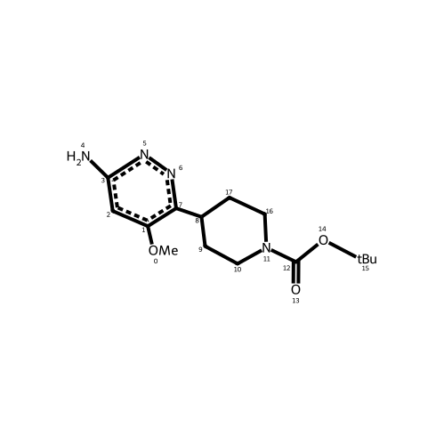 COc1cc(N)nnc1C1CCN(C(=O)OC(C)(C)C)CC1